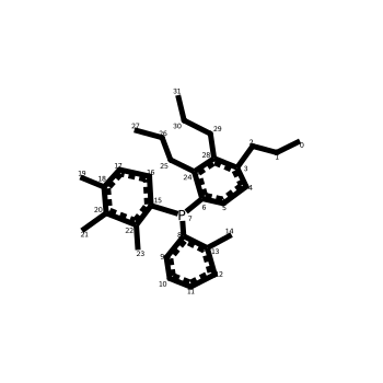 CCCc1ccc(P(c2ccccc2C)c2ccc(C)c(C)c2C)c(CCC)c1CCC